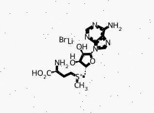 C[S+](CC[C@H](N)C(=O)O)C[C@H]1O[C@@H](n2cnc3c(N)ncnc32)[C@H](O)[C@@H]1O.[Br-].[Li]